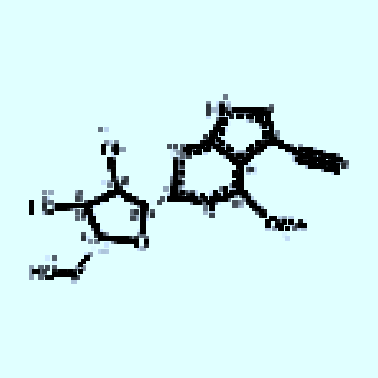 C#Cc1c[nH]c2nc([C@@H]3O[C@H](CO)[C@@H](O)[C@H]3O)nc(OC)c12